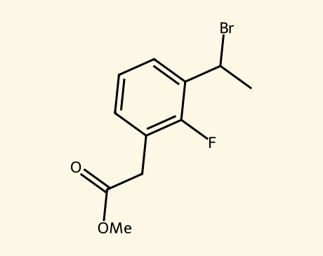 COC(=O)Cc1cccc(C(C)Br)c1F